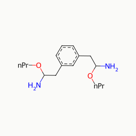 CCCOC(N)Cc1cccc(CC(N)OCCC)c1